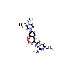 CCN1CCN(c2ccc3c(c2)OCOC/C(c2cn4cc(C)nc(C)c4n2)=C\3)C[C@@H]1C